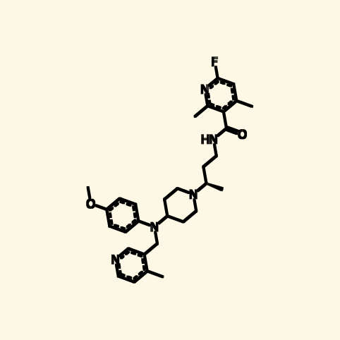 COc1ccc(N(Cc2cnccc2C)C2CCN([C@H](C)CCNC(=O)c3c(C)cc(F)nc3C)CC2)cc1